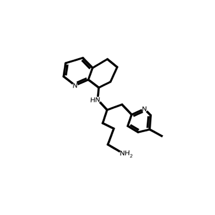 Cc1ccc(CC(CCCN)NC2CCCc3cccnc32)nc1